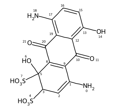 NC1=CC(S(=O)(=O)O)C(O)(S(=O)(=O)O)C2=C1C(=O)c1c(O)ccc(N)c1C2=O